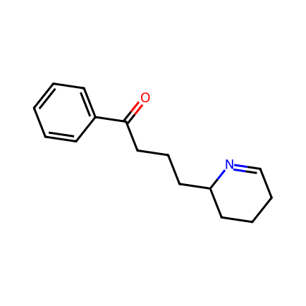 O=C(CCCC1CCCC=N1)c1ccccc1